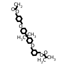 C=CC(=O)OCC1CCC(COC2CCC(C(C)(C)C3CCC(OCC4CCCC(COC(=O)C(=C)C)C4)CC3)CC2)CC1